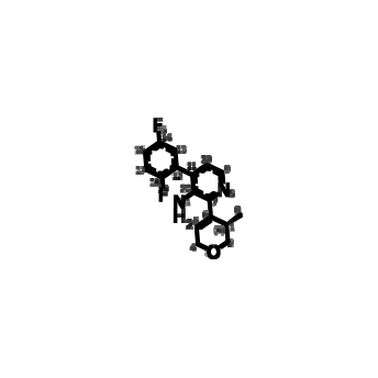 C[C@H]1COCC=C1c1nccc(-c2cc(F)ccc2F)c1N